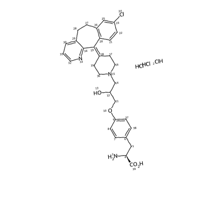 Cl.Cl.Cl.N[C@@H](Cc1ccc(OCC(O)CN2CCC(=C3c4ccc(Cl)cc4CCc4cccnc43)CC2)cc1)C(=O)O